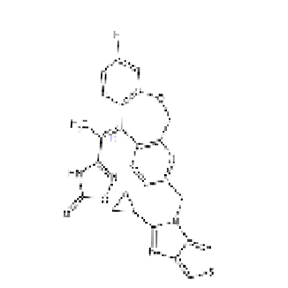 C/C(=C1/c2ccc(Cn3c(C4CC4)nc4cscc43)cc2COc2cc(F)ccc21)c1noc(=O)[nH]1